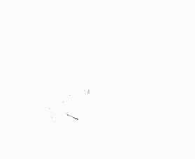 Cc1cc2cc(C(=O)N[C@@H]3C4CCN(CC4)[C@H]3C)ccc2o1